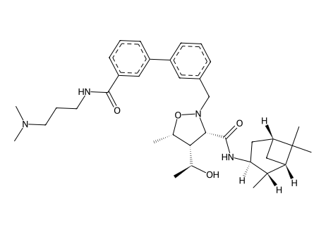 C[C@@H]1[C@@H](NC(=O)[C@@H]2[C@H]([C@H](C)O)[C@H](C)ON2Cc2cccc(-c3cccc(C(=O)NCCCN(C)C)c3)c2)C[C@H]2C[C@@H]1C2(C)C